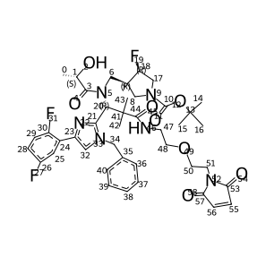 C[C@H](O)C(=O)N(C[C@@H]1CN(C(=O)OC(C)(C)C)C[C@@H]1F)[C@@H](c1nc(-c2cc(F)ccc2F)cn1Cc1ccccc1)C(C)(C)C(=O)NCCOCCN1C(=O)C=CC1=O